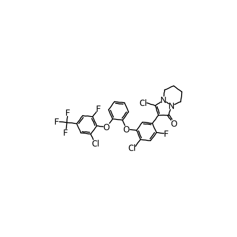 O=c1c(-c2cc(Oc3ccccc3Oc3c(F)cc(C(F)(F)F)cc3Cl)c(Cl)cc2F)c(Cl)n2n1CCCC2